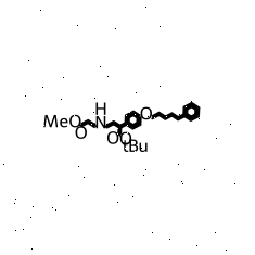 COC(=O)CCNCCC(C(=O)OC(C)(C)C)c1ccc(OCCCCCc2ccccc2)cc1